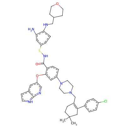 CC1(C)CCC(CN2CCN(c3ccc(C(=O)NSc4ccc(NCC5CCOCC5)c(N)c4)c(Oc4cnc5[nH]ccc5c4)c3)CC2)=C(c2ccc(Cl)cc2)C1